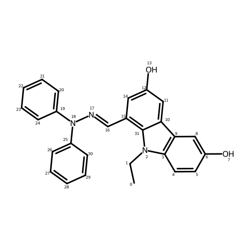 CCn1c2ccc(O)cc2c2cc(O)cc(C=NN(c3ccccc3)c3ccccc3)c21